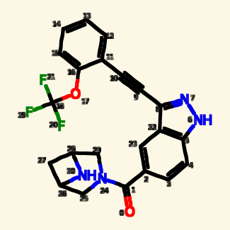 O=C(c1ccc2[nH]nc(C#Cc3ccccc3OC(F)(F)F)c2c1)N1CC2CC(C1)N2